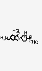 Cl.NCc1ccc2c(c1)CN(C1CCC(C(=O)C=O)NC1)C2=O